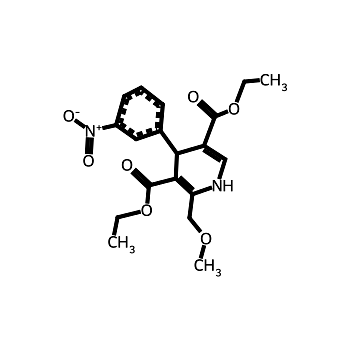 CCOC(=O)C1=CNC(COC)=C(C(=O)OCC)C1c1cccc([N+](=O)[O-])c1